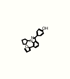 Oc1ccc(-c2nn(C3CCCC3)c3c(-c4ccco4)cccc23)cc1